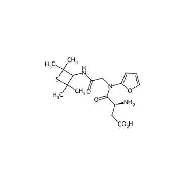 CC1(C)SC(C)(C)C1NC(=O)CN(C(=O)[C@@H](N)CC(=O)O)c1ccco1